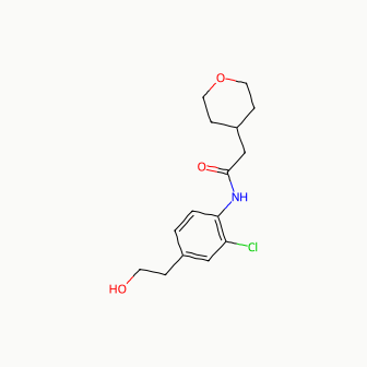 O=C(CC1CCOCC1)Nc1ccc(CCO)cc1Cl